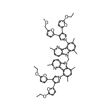 CCOc1ccc(-c2cn(-c3c(C)cc(C)c4c3c3nc(C)ccc3n4Cn3c4ccc(C)nc4c4c(-n5cc(-c6ccc(OCC)o6)c(-c6ccc(OCC)o6)c5)c(C)cc(C)c43)cc2-c2ccc(COC)o2)o1